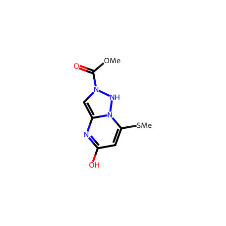 COC(=O)N1C=C2N=C(O)C=C(SC)N2N1